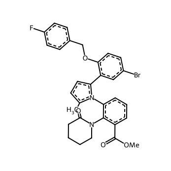 COC(=O)c1cccc(-n2c(C)ccc2-c2cc(Br)ccc2OCc2ccc(F)cc2)c1N1CCCCC1=O